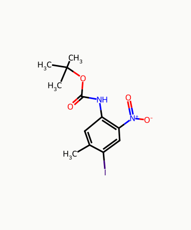 Cc1cc(NC(=O)OC(C)(C)C)c([N+](=O)[O-])cc1I